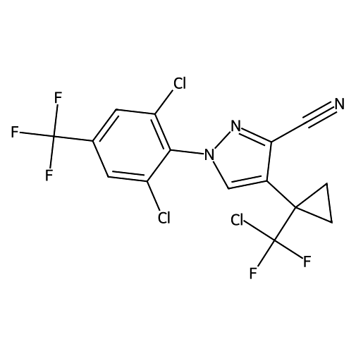 N#Cc1nn(-c2c(Cl)cc(C(F)(F)F)cc2Cl)cc1C1(C(F)(F)Cl)CC1